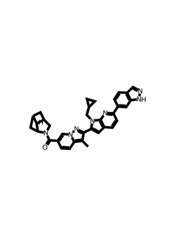 Cc1c(-c2cc3ccc(-c4ccc5cn[nH]c5c4)nc3n2CC2CC2)nn2cc(C(=O)N3CC4CC5CC3[C@H]54)ccc12